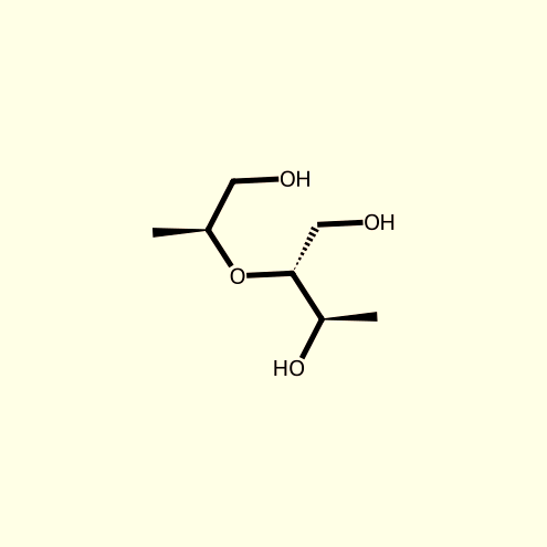 C[C@@H](CO)O[C@H](CO)[C@@H](C)O